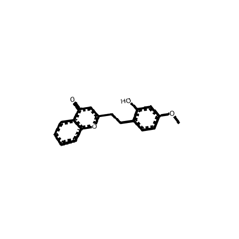 COc1ccc(CCc2cc(=O)c3ccccc3o2)c(O)c1